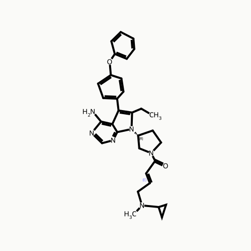 CCc1c(-c2ccc(Oc3ccccc3)cc2)c2c(N)ncnc2n1[C@@H]1CCN(C(=O)/C=C/CN(C)C2CC2)C1